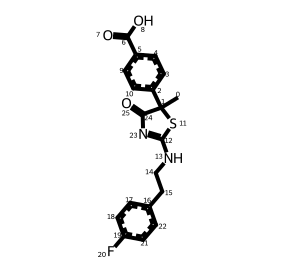 CC1(c2ccc(C(=O)O)cc2)SC(NCCc2ccc(F)cc2)=NC1=O